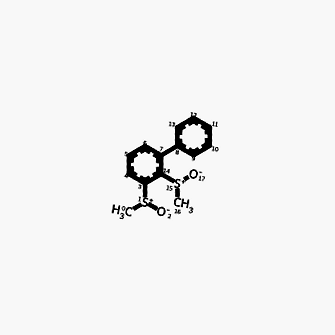 C[S+]([O-])c1cccc(-c2ccccc2)c1[S+](C)[O-]